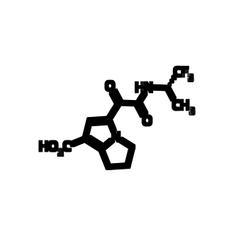 C[C@H](NC(=O)C(=O)c1cc(C(=O)O)c2n1CCC2)C(F)(F)F